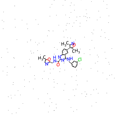 Cc1cnc(CNC(=O)c2nc(NCc3cccc(Cl)c3)c3cc(-c4c(C)noc4C)ccc3n2)o1